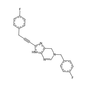 Fc1ccc(CC#Cc2nc3c([nH]2)N=CN(Cc2ccc(F)cc2)C3)cc1